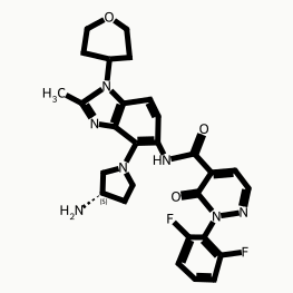 Cc1nc2c(N3CC[C@H](N)C3)c(NC(=O)c3ccnn(-c4c(F)cccc4F)c3=O)ccc2n1C1CCOCC1